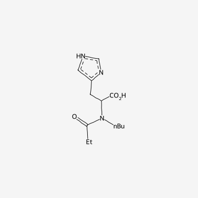 CCCCN(C(=O)CC)C(Cc1c[nH]cn1)C(=O)O